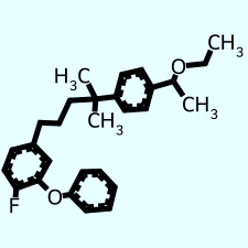 CCOC(C)c1ccc(C(C)(C)CCCc2ccc(F)c(Oc3ccccc3)c2)cc1